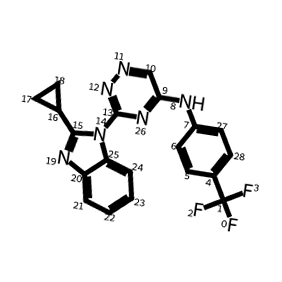 FC(F)(F)c1ccc(Nc2cnnc(-n3c(C4CC4)nc4ccccc43)n2)cc1